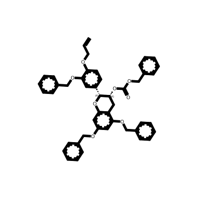 C=CCOc1ccc([C@H]2Oc3cc(OCc4ccccc4)cc(OCc4ccccc4)c3C[C@H]2OC(=O)OCc2ccccc2)cc1OCc1ccccc1